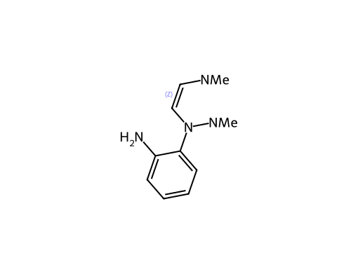 CN/C=C\N(NC)c1ccccc1N